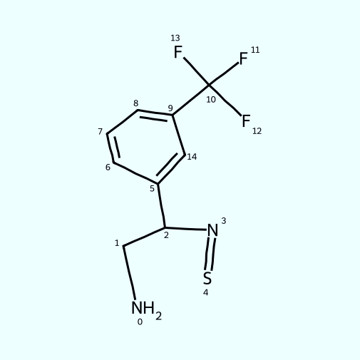 NCC(N=S)c1cccc(C(F)(F)F)c1